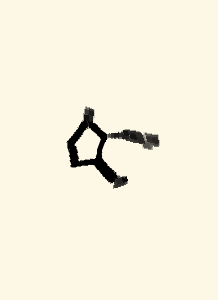 O=C(O)[C@H]1NCCC1=[Se]